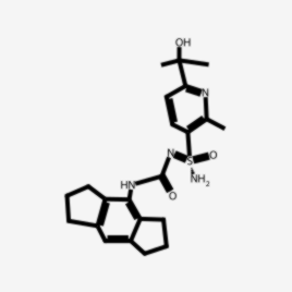 Cc1nc(C(C)(C)O)ccc1[S@@](N)(=O)=NC(=O)Nc1c2c(cc3c1CCC3)CCC2